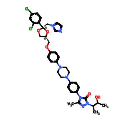 Cc1nn(C(C)C(C)O)c(=O)n1-c1ccc(N2CCN(c3ccc(OC[C@@H]4CO[C@@](Cn5ccnc5)(c5ccc(Cl)cc5Cl)O4)cc3)CC2)cc1